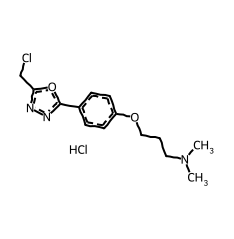 CN(C)CCCOc1ccc(-c2nnc(CCl)o2)cc1.Cl